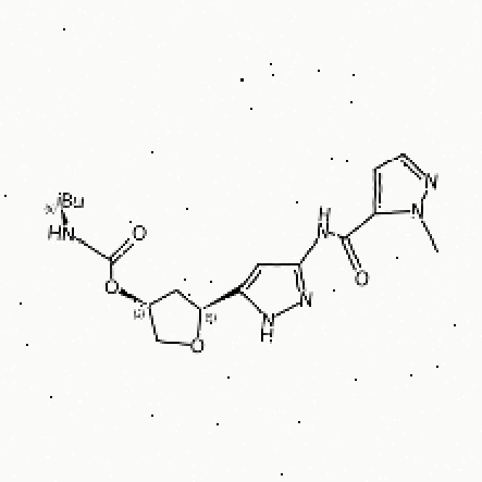 CC[C@H](C)NC(=O)O[C@@H]1CO[C@H](c2cc(NC(=O)c3ccnn3C)n[nH]2)C1